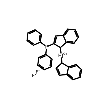 C1=C[CH]([Hf+2][CH]2C(P(c3ccccc3)c3ccccc3)=Cc3ccccc32)c2ccccc21.[F-].[F-]